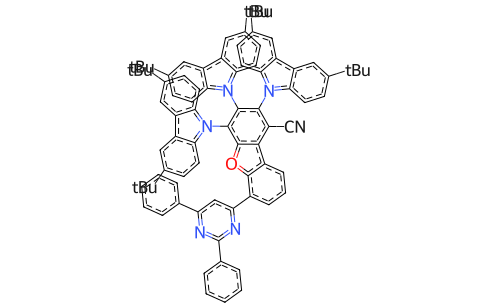 CC(C)(C)c1ccc2c(c1)c1cc(C(C)(C)C)ccc1n2-c1c(-n2c3ccc(C(C)(C)C)cc3c3cc(C(C)(C)C)ccc32)c(C#N)c2c(oc3c(-c4cc(-c5ccccc5)nc(-c5ccccc5)n4)cccc32)c1-n1c2ccc(C(C)(C)C)cc2c2cc(C(C)(C)C)ccc21